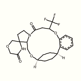 O=C1COCC2(CCN3C(=O)CC(C(F)(F)F)Oc4ccccc4[C@H]4CC[C@H](CC4)OCC32)N1